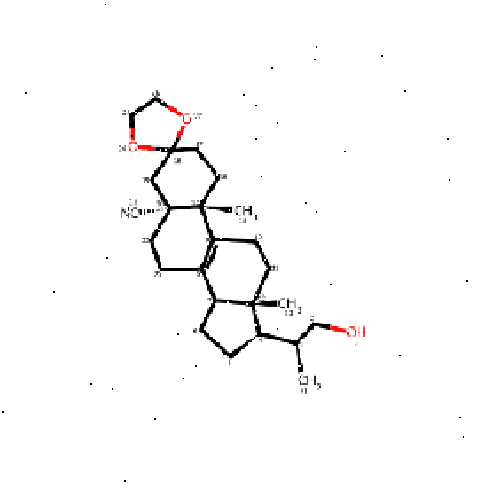 C[C@H](CO)[C@H]1CCC2C3=C(CC[C@@]21C)[C@@]1(C)CCC2(C[C@]1(C#N)CC3)OCCO2